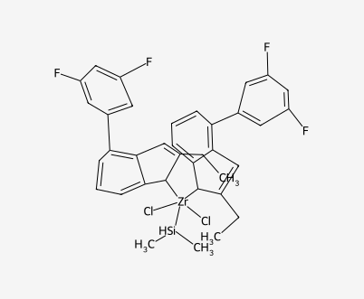 CCC1=Cc2c(-c3cc(F)cc(F)c3)cccc2[CH]1[Zr]([Cl])([Cl])([CH]1C(CC)=Cc2c(-c3cc(F)cc(F)c3)cccc21)[SiH](C)C